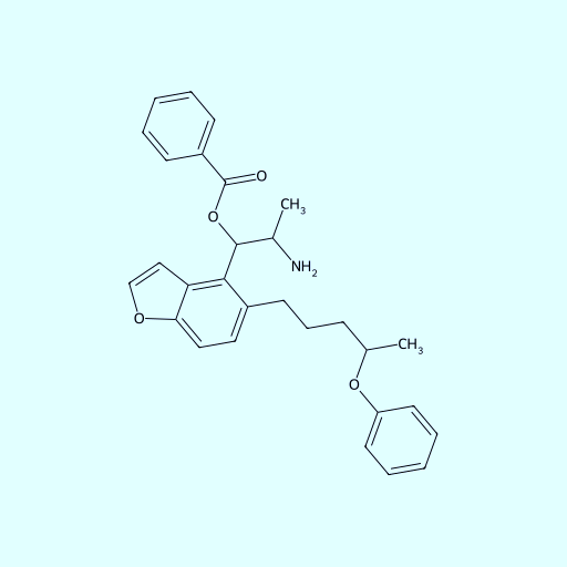 CC(CCCc1ccc2occc2c1C(OC(=O)c1ccccc1)C(C)N)Oc1ccccc1